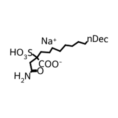 CCCCCCCCCCCCCCCCCCC(CC(N)=O)(C(=O)[O-])S(=O)(=O)O.[Na+]